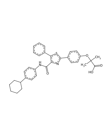 CC(C)(Oc1ccc(-c2nc(C(=O)Nc3ccc(C4CCCCC4)cc3)c(-c3ccccc3)s2)cc1)C(=O)O